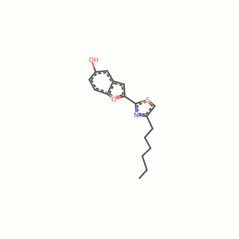 CCCCCCc1csc(-c2cc3cc(O)ccc3o2)n1